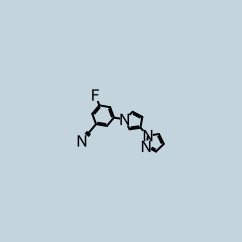 N#Cc1cc(F)cc(-n2ccc(-n3cccn3)c2)c1